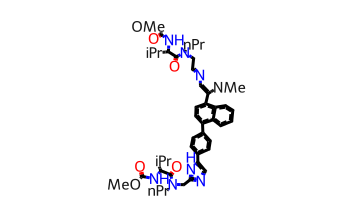 CCCN(C/C=N/C=C(\NC)c1ccc(-c2ccc(-c3cnc(CN(CCC)C(=O)C(NC(=O)OC)C(C)C)[nH]3)cc2)c2ccccc12)C(=O)C(NC(=O)OC)C(C)C